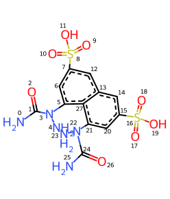 NC(=O)N(N)c1cc(S(=O)(=O)O)cc2cc(S(=O)(=O)O)cc(N(N)C(N)=O)c12